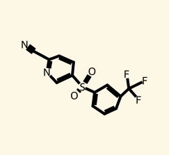 N#Cc1ccc(S(=O)(=O)c2cccc(C(F)(F)F)c2)cn1